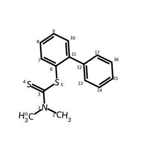 CN(C)C(=S)Sc1ccccc1-c1ccccc1